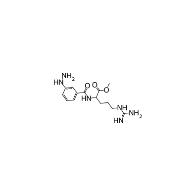 COC(=O)C(CCCNC(=N)N)NC(=O)c1cccc(NN)c1